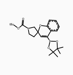 CC(C)(C)OC(=O)N1CCC2(C=C(B3OC(C)(C)C(C)(C)O3)c3ccccc3O2)C1